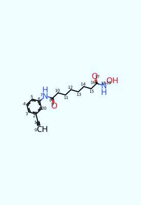 C#Cc1cccc(NC(=O)CCCCCCC(=O)NO)c1